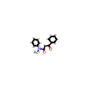 CC(=O)N(C(=O)CC(=O)c1ccccc1)c1ccccc1